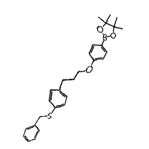 CC1(C)OB(c2ccc(OCCCc3ccc(SCc4ccccc4)cc3)cc2)OC1(C)C